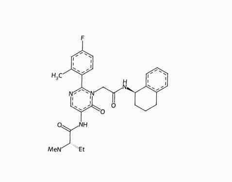 CC[C@H](NC)C(=O)Nc1cnc(-c2ccc(F)cc2C)n(CC(=O)N[C@@H]2CCCc3ccccc32)c1=O